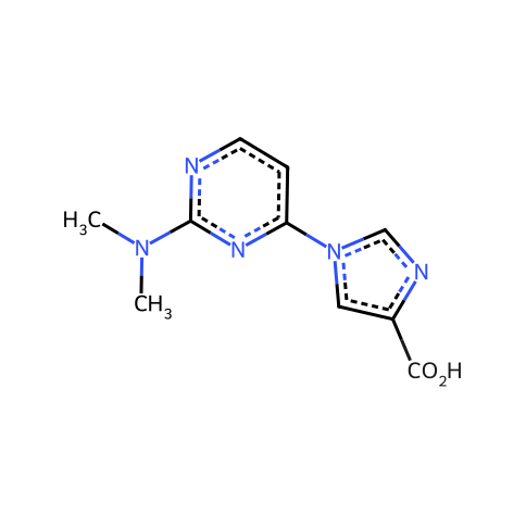 CN(C)c1nccc(-n2cnc(C(=O)O)c2)n1